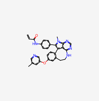 C=CC(=O)Nc1ccc(-c2c3c4c(ncnc4n2C)NCCc2cc(Oc4cncc(C)c4)ccc2-3)cc1